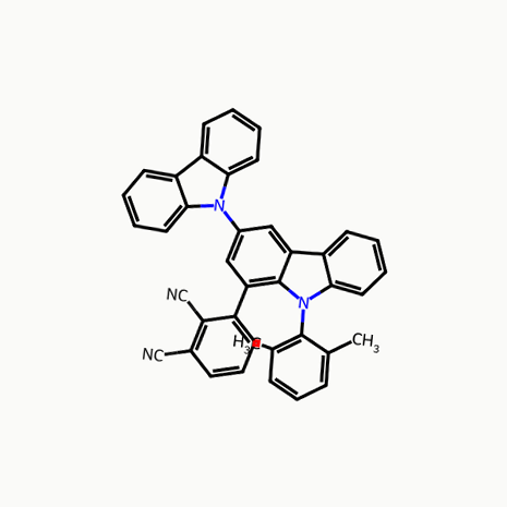 Cc1cccc(C)c1-n1c2ccccc2c2cc(-n3c4ccccc4c4ccccc43)cc(-c3cccc(C#N)c3C#N)c21